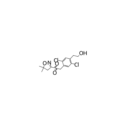 CC1(C)CC(S(=O)(=O)Cc2cc(Cl)c(CCO)cc2Cl)=NO1